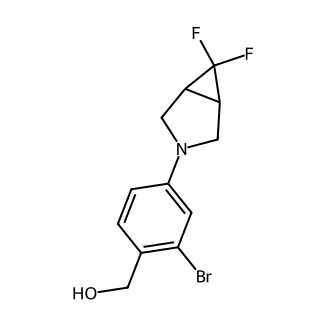 OCc1ccc(N2CC3C(C2)C3(F)F)cc1Br